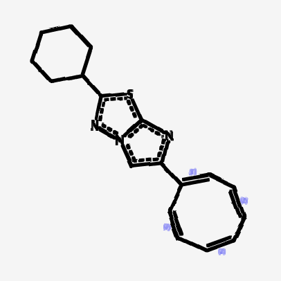 C1=C\C=C/C(c2cn3nc(C4CCCCC4)sc3n2)=C\C=C/1